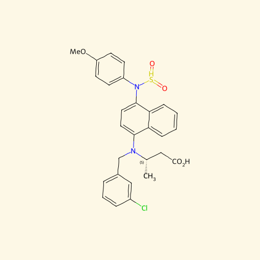 COc1ccc(N(c2ccc(N(Cc3cccc(Cl)c3)[C@@H](C)CC(=O)O)c3ccccc23)[SH](=O)=O)cc1